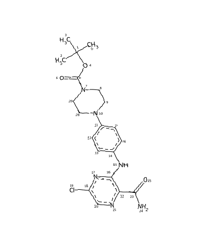 CC(C)(C)OC(=O)N1CCN(c2ccc(Nc3nc(Cl)cnc3C(N)=O)cc2)CC1